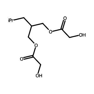 CC(C)CC(COC(=O)CO)COC(=O)CO